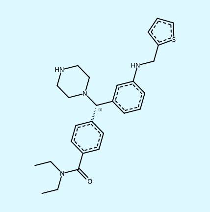 CCN(CC)C(=O)c1ccc([C@@H](c2cccc(NCc3cccs3)c2)N2CCNCC2)cc1